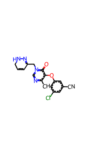 Cc1ncn(CC2=NNCC=C2)c(=O)c1Oc1cc(Cl)cc(C#N)c1